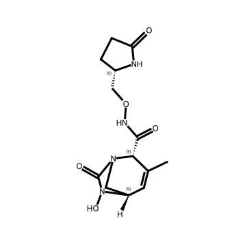 CC1=C[C@H]2CN(C(=O)N2O)[C@@H]1C(=O)NOC[C@@H]1CCC(=O)N1